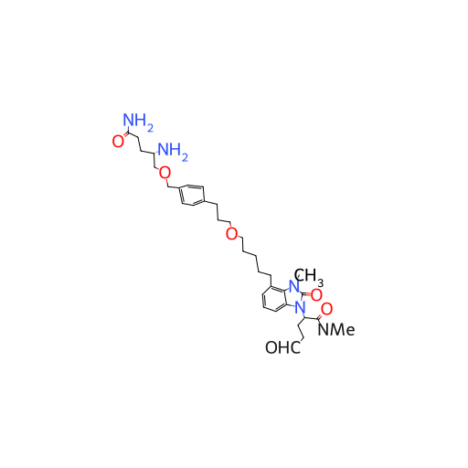 CNC(=O)C(CCC=O)n1c(=O)n(C)c2c(CCCCCOCCCc3ccc(COC[C@@H](N)CCC(N)=O)cc3)cccc21